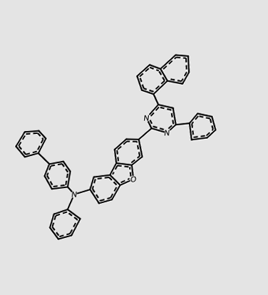 c1ccc(-c2ccc(N(c3ccccc3)c3ccc4oc5cc(-c6nc(-c7ccccc7)cc(-c7cccc8ccccc78)n6)ccc5c4c3)cc2)cc1